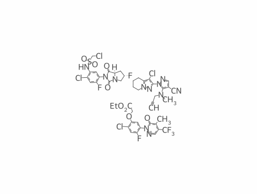 C#CCN(C)c1c(C#N)cnn1-c1nn2c(c1Cl)CCCC2.CCOC(=O)COc1cc(-n2ncc(C(F)(F)F)c(C)c2=O)c(F)cc1Cl.O=C1[C@H]2C[C@H](F)CN2C(=O)N1c1cc(NS(=O)(=O)CCl)c(Cl)cc1F